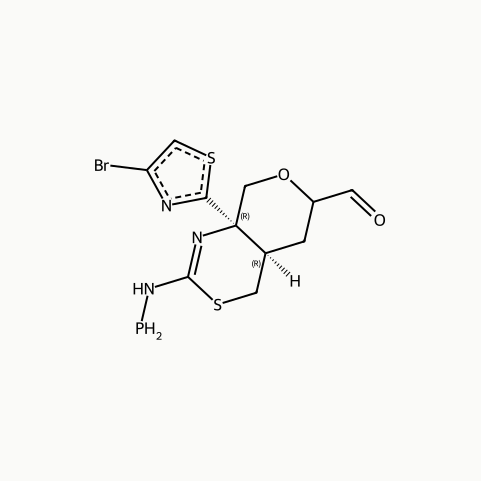 O=CC1C[C@H]2CSC(NP)=N[C@@]2(c2nc(Br)cs2)CO1